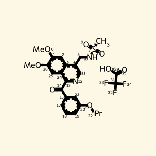 COc1cc2c(CNS(C)(=O)=O)cnc(C(=O)c3cccc(OC(C)C)c3)c2cc1OC.O=C(O)C(F)(F)F